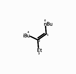 CCCCC=C(CC)C(C)CC